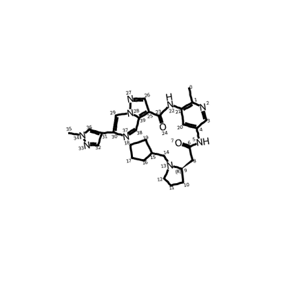 Cc1ncc(NC(=O)C[C@H]2CCCN2CC2CCCC2)cc1NC(=O)c1cnn2cc(-c3cnn(C)c3)ncc12